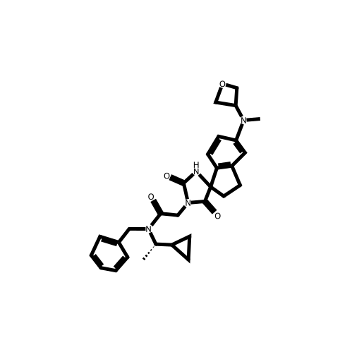 C[C@@H](C1CC1)N(Cc1ccccc1)C(=O)CN1C(=O)NC2(CCc3cc(N(C)C4COC4)ccc32)C1=O